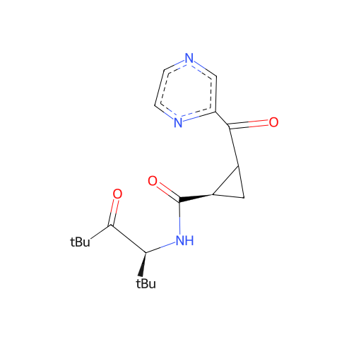 CC(C)(C)C(=O)[C@@H](NC(=O)[C@@H]1CC1C(=O)c1cnccn1)C(C)(C)C